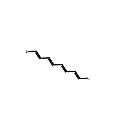 [Li][CH]=CC=CC=CC=[CH][Li]